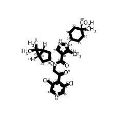 CC1(C)[C@@H]2C[C@H](N(CC(=O)c3c(Cl)cncc3Cl)C(=O)c3cnn([C@H]4CC[C@](C)(C(=O)O)CC4)c3C(F)(F)F)C[C@@H]21